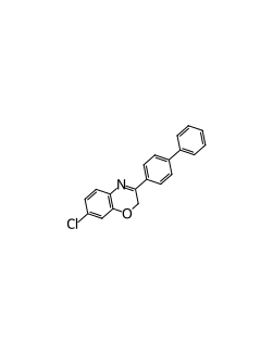 Clc1ccc2c(c1)OCC(c1ccc(-c3ccccc3)cc1)=N2